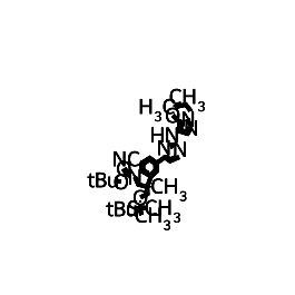 CC(C)(C)OC(=O)N1C[C@](C)(CO[Si](C)(C)C(C)(C)C)c2cc(-c3ccnc(Nc4cnn5c4OC(C)(C)CC5)n3)cc(C#N)c21